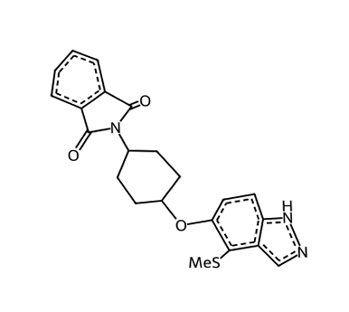 CSc1c(OC2CCC(N3C(=O)c4ccccc4C3=O)CC2)ccc2[nH]ncc12